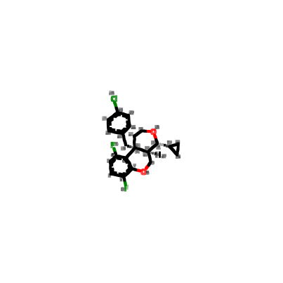 Fc1ccc(F)c2c1OC[C@@H]1[C@@H](C3CC3)OCC[C@]21Cc1ccc(Cl)cc1